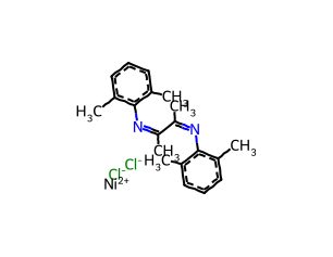 CC(=N/c1c(C)cccc1C)/C(C)=N\c1c(C)cccc1C.[Cl-].[Cl-].[Ni+2]